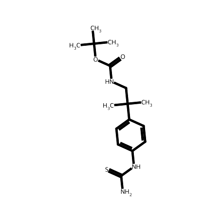 CC(C)(C)OC(=O)NCC(C)(C)c1ccc(NC(N)=S)cc1